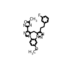 COc1ccc2c(c1)-n1nnc(CCc3cccc(F)c3)c1Cc1c(-c3noc(C)n3)ncn1-2